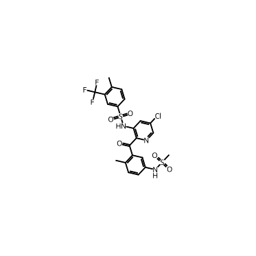 Cc1ccc(NS(C)(=O)=O)cc1C(=O)c1ncc(Cl)cc1NS(=O)(=O)c1ccc(C)c(C(F)(F)F)c1